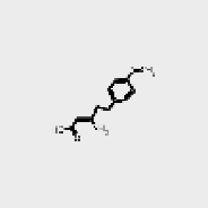 COc1ccc(CCC(N)=CC(=O)O)cc1